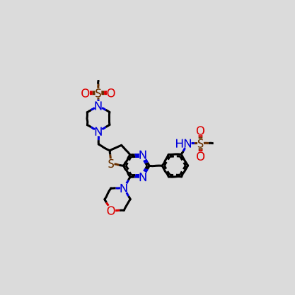 CS(=O)(=O)Nc1cccc(-c2nc3c(c(N4CCOCC4)n2)SC(CN2CCN(S(C)(=O)=O)CC2)C3)c1